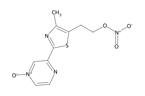 Cc1nc(-c2c[n+]([O-])ccn2)sc1CCO[N+](=O)[O-]